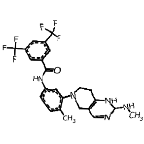 CNC1N=CC2=C(CCN(c3cc(NC(=O)c4cc(C(F)(F)F)cc(C(F)(F)F)c4)ccc3C)C2)N1